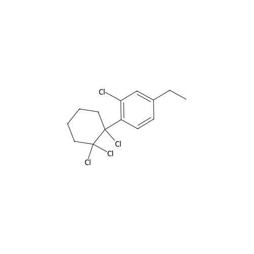 CCc1ccc(C2(Cl)CCCCC2(Cl)Cl)c(Cl)c1